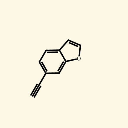 C#Cc1ccc2[c]coc2c1